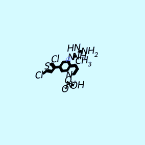 Cc1ccnc2c1/C(=N\NC(=N)N)CC(c1cc(Cl)sc1Cl)C2.O=[N+]([O-])O